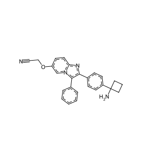 N#CCOc1ccc2nc(-c3ccc(C4(N)CCC4)cc3)c(-c3ccccc3)n2c1